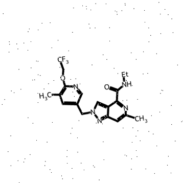 CCNC(=O)c1nc(C)cc2nn(Cc3cnc(OCC(F)(F)F)c(C)c3)cc12